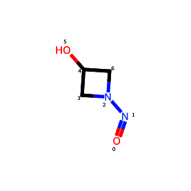 O=NN1CC(O)C1